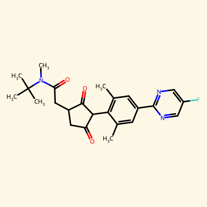 Cc1cc(-c2ncc(F)cn2)cc(C)c1C1C(=O)CC(CC(=O)N(C)C(C)(C)C)C1=O